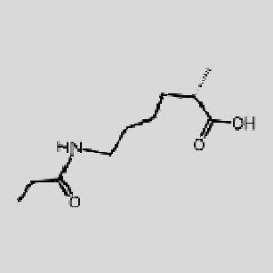 CCC(=O)NCCCC[C@H](C)C(=O)O